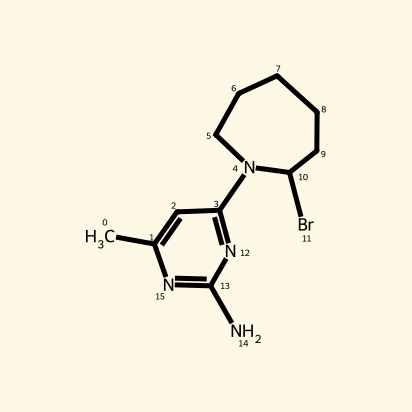 Cc1cc(N2CCCCCC2Br)nc(N)n1